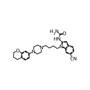 N#Cc1ccc2cc(NC(N)=O)n(CCCCN3CCN(c4ccc5c(c4)OCCC5)CC3)c2c1